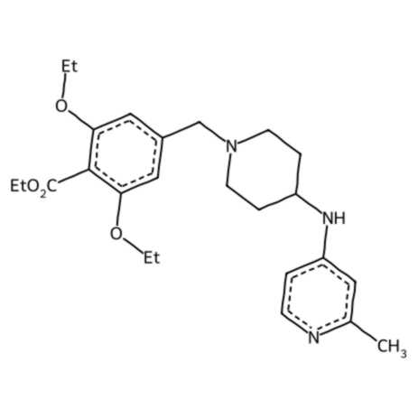 CCOC(=O)c1c(OCC)cc(CN2CCC(Nc3ccnc(C)c3)CC2)cc1OCC